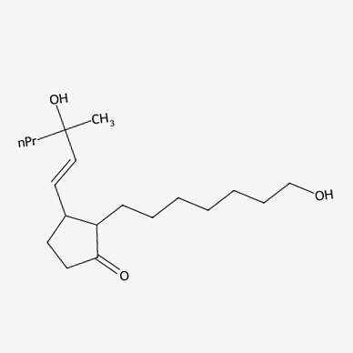 CCCC(C)(O)/C=C/C1CCC(=O)C1CCCCCCCO